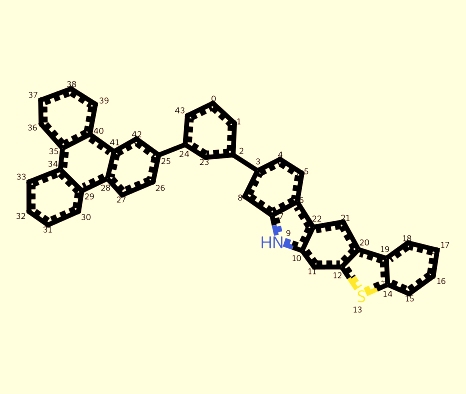 c1cc(-c2ccc3c(c2)[nH]c2cc4sc5ccccc5c4cc23)cc(-c2ccc3c4ccccc4c4ccccc4c3c2)c1